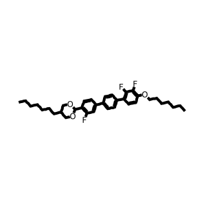 CCCCCCCOc1ccc(-c2ccc(-c3ccc(C4OCC(CCCCCCC)CO4)c(F)c3)cc2)c(F)c1F